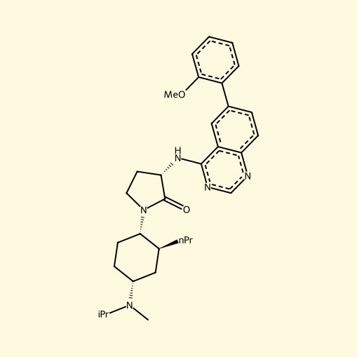 CCC[C@H]1C[C@H](N(C)C(C)C)CC[C@@H]1N1CC[C@H](Nc2ncnc3ccc(-c4ccccc4OC)cc23)C1=O